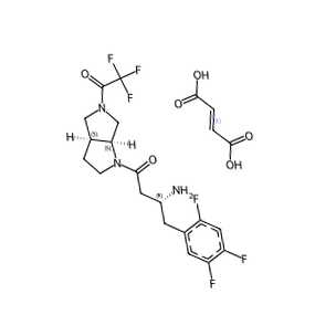 N[C@@H](CC(=O)N1CC[C@H]2CN(C(=O)C(F)(F)F)C[C@H]21)Cc1cc(F)c(F)cc1F.O=C(O)/C=C/C(=O)O